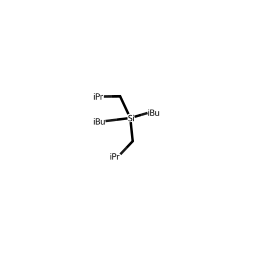 CCC(C)[Si](CC(C)C)(CC(C)C)C(C)CC